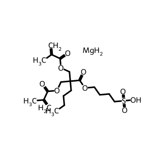 C=C(C)C(=O)OCC(CCCC)(COC(=O)C(=C)C)C(=O)OCCCCS(=O)(=O)O.[MgH2]